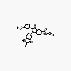 CNC(=O)c1ccc2c(c1)NC(c1cn(C)cn1)N2c1ccc2[nH]c(=O)[nH]c2c1